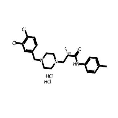 Cc1ccc(NC(=O)[C@@H](C)CN2CCN(Cc3ccc(Cl)c(Cl)c3)CC2)cc1.Cl.Cl